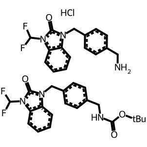 CC(C)(C)OC(=O)NCc1ccc(Cn2c(=O)n(C(F)F)c3ccccc32)cc1.Cl.NCc1ccc(Cn2c(=O)n(C(F)F)c3ccccc32)cc1